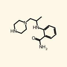 CC(CN1CCNCC1)Nc1ccccc1C(N)=O